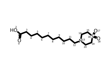 O=C(O)CCCCCCCCCCN1CCS(=O)(=O)CC1